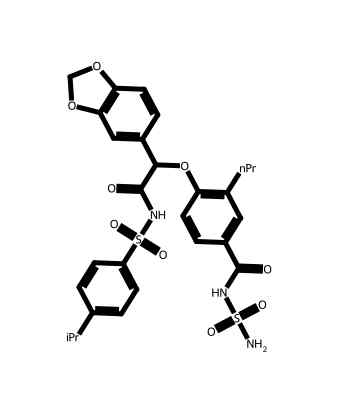 CCCc1cc(C(=O)NS(N)(=O)=O)ccc1OC(C(=O)NS(=O)(=O)c1ccc(C(C)C)cc1)c1ccc2c(c1)OCO2